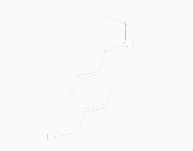 O=C1CCC(c2ccc(SC(F)(F)F)cc2)N1